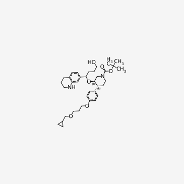 CC(C)(C)OC(=O)N1CC[C@H](c2ccc(OCCCOCC3CC3)cc2)[C@@H](OC(CCCO)c2ccc3c(c2)NCCC3)C1